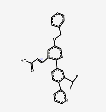 O=C(O)/C=C/c1cc(OCc2ccccc2)ccc1-c1ccc(-c2cccnc2)c(C(F)F)c1